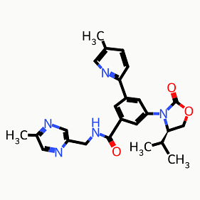 Cc1ccc(-c2cc(C(=O)NCc3cnc(C)cn3)cc(N3C(=O)OC[C@H]3C(C)C)c2)nc1